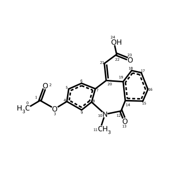 CC(=O)Oc1ccc2c(c1)N(C)C(=O)c1ccccc1/C2=C\C(=O)O